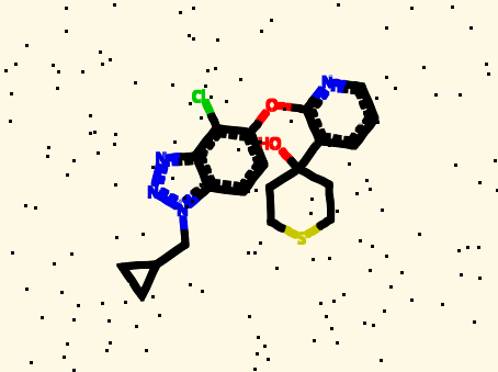 OC1(c2cccnc2Oc2ccc3c(nnn3CC3CC3)c2Cl)CCSCC1